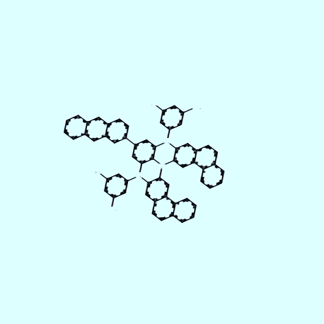 CC(C)(C)c1cc(N2c3cc4ccc5ccccc5c4cc3B3c4cc5c(ccc6ccccc65)cc4N(c4cc(C(C)(C)C)cc(C(C)(C)C)c4)c4cc(-c5ccc6cc7ccccc7cc6c5)cc2c43)cc(C(C)(C)C)c1